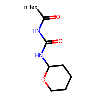 CCCCCCC(=O)NC(=O)NC1CCCCO1